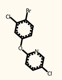 Clc1ccc(Oc2ccc(Br)c(Cl)c2)nc1